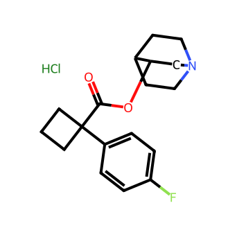 Cl.O=C(OC1CN2CCC1CC2)C1(c2ccc(F)cc2)CCC1